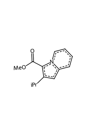 COC(=O)c1c(C(C)C)cc2ccccn12